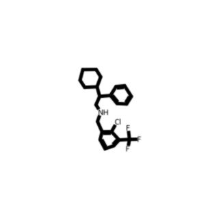 FC(F)(F)c1cccc(CNCC(c2ccccc2)C2CCCCC2)c1Cl